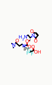 CC(C)N(CCC(=O)N(C)C)C(=O)OC[C@H](CN)N1C(=O)C=CC1=O.O=C(O)C(F)(F)F